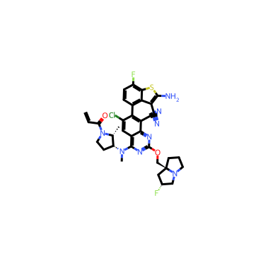 C=CC(=O)N1CC[C@@H](N(C)c2nc(OC[C@@]34CCCN3C[C@H](F)C4)nc3c(C#N)c(-c4ccc(F)c5sc(N)c(C#N)c45)c(Cl)cc23)[C@H]1C